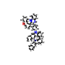 c1ccc2cc3c(cc2c1)c1ccccc1n3-c1c2ccccc2cc2c1c1ccccc1n2-c1ccc(-c2nc3ccccc3nc2-c2cccc3oc4ccccc4c23)cc1